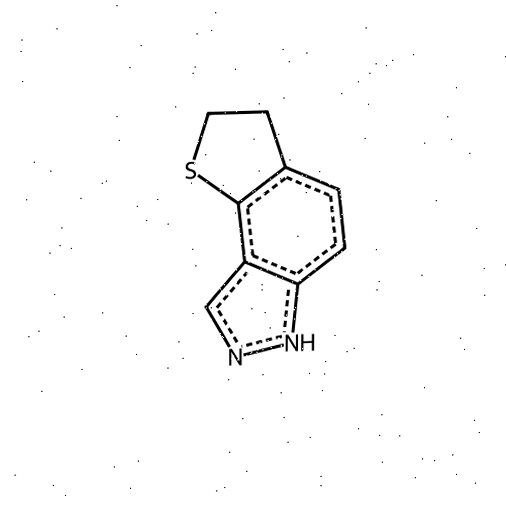 c1cc2[nH]ncc2c2c1CCS2